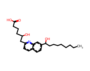 CCCCCCCCC(O)c1ccc2ccc(CC(O)CCCC(=O)O)nc2c1